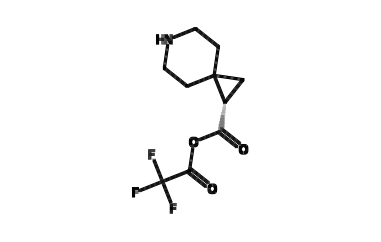 O=C(OC(=O)C(F)(F)F)[C@H]1CC12CCNCC2